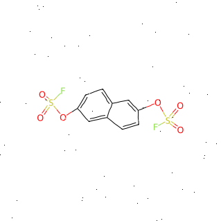 O=S(=O)(F)Oc1ccc2cc(OS(=O)(=O)F)ccc2c1